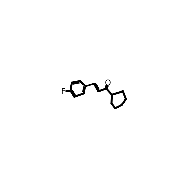 O=C(/C=C/c1ccc(F)cc1)C1CCCCC1